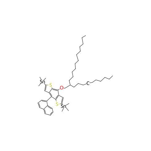 CCCCCCCCCCCCC(CCCCCCCCCC)COc1c2c[c]([Sn]([CH3])([CH3])[CH3])sc2c(-c2cccc3ccccc23)c2c[c]([Sn]([CH3])([CH3])[CH3])sc12